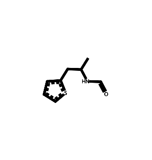 CC(Cc1cccs1)NC=O